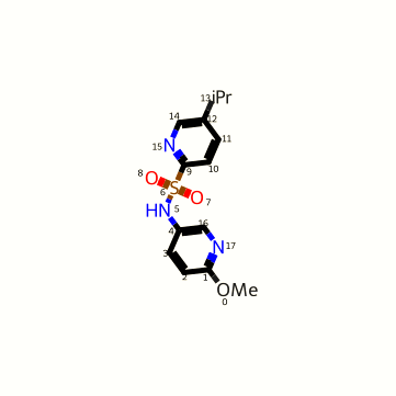 COc1ccc(NS(=O)(=O)c2ccc(C(C)C)cn2)cn1